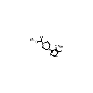 COc1c(C)ncnc1N1CCN(C(=O)OC(C)(C)C)CC1